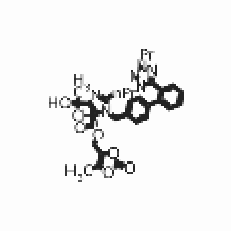 CCCc1nc(C(C)(C)O)c(C(=O)OCc2oc(=O)oc2C)n1Cc1ccc(-c2ccccc2-c2nnn(C(C)C)n2)cc1